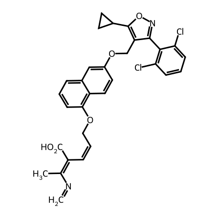 C=N/C(C)=C(\C=C/COc1cccc2cc(OCc3c(-c4c(Cl)cccc4Cl)noc3C3CC3)ccc12)C(=O)O